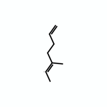 C=CCC/C(C)=[C]/C